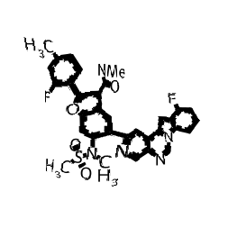 CNC(=O)c1c(-c2ccc(C)cc2F)oc2cc(N(C)S(C)(=O)=O)c(-c3cc4c(cn3)ncn3c5cccc(F)c5cc43)cc12